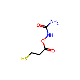 NC(=O)NOC(=O)CCS